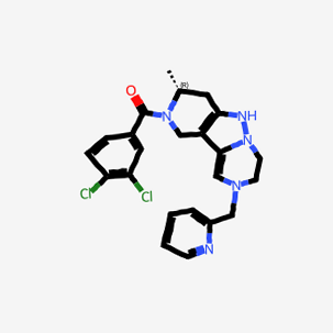 C[C@@H]1CC2=C(CN1C(=O)c1ccc(Cl)c(Cl)c1)C1=CN(Cc3ccccn3)CCN1N2